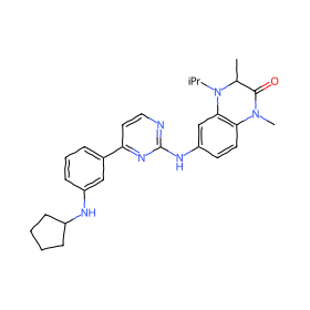 CC(C)N1c2cc(Nc3nccc(-c4cccc(NC5CCCC5)c4)n3)ccc2N(C)C(=O)C1C